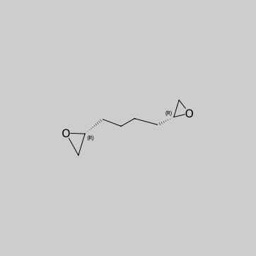 C(CC[C@@H]1CO1)C[C@@H]1CO1